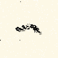 C[C@]12CC(N3CCN(C(=O)[C@@H]4CCCN4C(=O)c4cc5ccccc5cn4)CC3)C(O)CC1CC[C@@H]1[C@@H]2CC[C@@]2(C)[C@H]1CC[C@]2(O)C#C[Si](C)(C)C